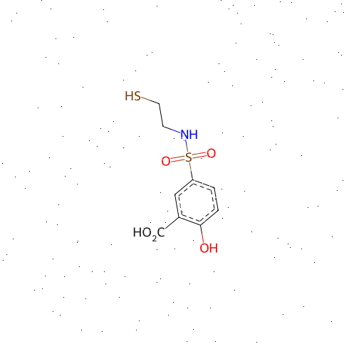 O=C(O)c1cc(S(=O)(=O)NCCS)ccc1O